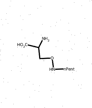 CCCCCNOCC(N)C(=O)O